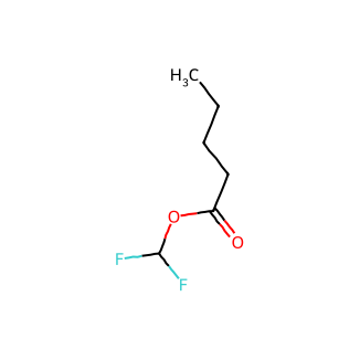 CCCCC(=O)OC(F)F